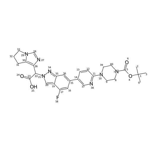 CC(C)(C)OC(=O)N1CCN(c2ccc(-c3cc(F)c4cn(C(C(=O)O)c5ncn6c5CCC6)nc4c3)cn2)CC1